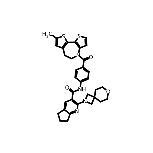 Cc1cc2c(s1)-c1sccc1N(C(=O)c1ccc(NC(=O)c3cc4c(nc3N3CC5(CCOCC5)C3)CCC4)cc1)CC2